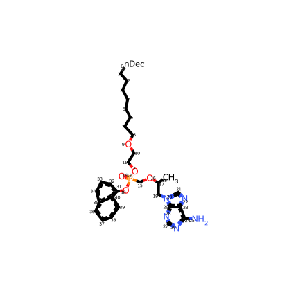 CCCCCCCCCCCCCCCCCCOCCOP(=O)(COC(C)Cn1cnc2c(N)ncnc21)Oc1cccc2ccccc12